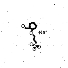 O=Cc1ccccc1OCCCS(=O)(=O)[O-].[Na+]